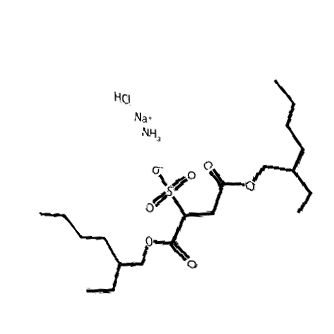 CCCCC(CC)COC(=O)CC(C(=O)OCC(CC)CCCC)S(=O)(=O)[O-].Cl.N.[Na+]